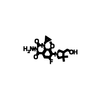 COc1c(N2CC(CO)C(C)(C)C2)c(F)cc2c(=O)n(N)c(=O)n(C3CC3)c12